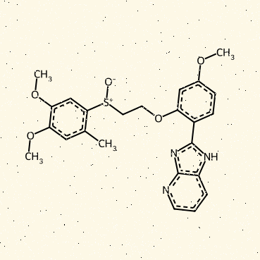 COc1ccc(-c2nc3ncccc3[nH]2)c(OCC[S+]([O-])c2cc(OC)c(OC)cc2C)c1